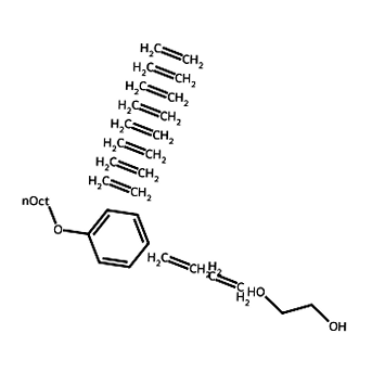 C=C.C=C.C=C.C=C.C=C.C=C.C=C.C=C.C=C.C=C.CCCCCCCCOc1ccccc1.OCCO